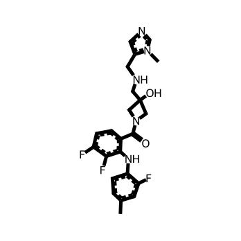 Cc1ccc(Nc2c(C(=O)N3CC(O)(CNCc4cncn4C)C3)ccc(F)c2F)c(F)c1